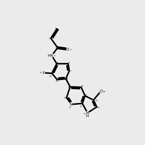 C=CC(=O)Nc1ccc(-c2cnc3[nH]cc(Cl)c3c2)cc1F